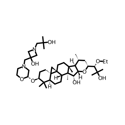 CCO[C@@H]([C@H]1C[C@@H](C)[C@H]2[C@H](O1)[C@H](O)[C@@]1(C)[C@@H]3CC[C@H]4C(C)(C)[C@@H](O[C@H]5CN(CC6(O)CN(CC(C)(C)O)C6)CCO5)CC[C@@]45C[C@@]35CC[C@]21C)C(C)(C)O